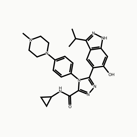 CC(C)c1n[nH]c2cc(O)c(-c3nnc(C(=O)NC4CC4)n3-c3ccc(N4CCN(C)CC4)cc3)cc12